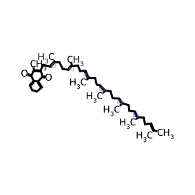 CC(C)=CCC/C(C)=C/CC/C(C)=C/CC/C(C)=C/CC/C(C)=C/CC/C(C)=C/CC/C(C)=C/CC1=C(C)C(=O)C2=CCCC=C2C1=O